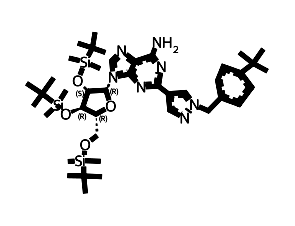 CC(C)(C)c1ccc(Cn2cc(-c3nc(N)c4ncn([C@@H]5O[C@H](CO[Si](C)(C)C(C)(C)C)[C@@H](O[Si](C)(C)C(C)(C)C)[C@@H]5O[Si](C)(C)C(C)(C)C)c4n3)cn2)cc1